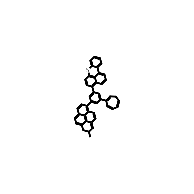 CC1C=c2ccc3c(-c4cc(C5=CCC=CC=C5)cc(-c5ccc6c7c(cccc57)-c5ccccc5S6)c4)ccc4ccc(c2c43)C1